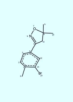 Cc1ccc(C2=NOC(C)(C)C2)cc1Br